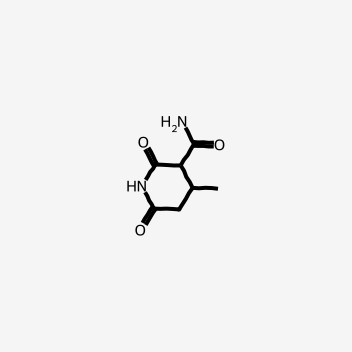 CC1CC(=O)NC(=O)C1C(N)=O